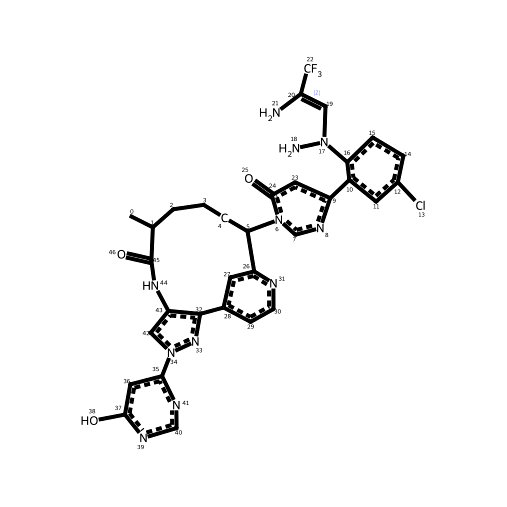 CC1CCCC(n2cnc(-c3cc(Cl)ccc3N(N)/C=C(\N)C(F)(F)F)cc2=O)c2cc(ccn2)-c2nn(-c3cc(O)ncn3)cc2NC1=O